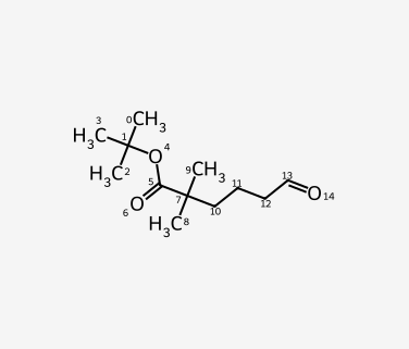 CC(C)(C)OC(=O)C(C)(C)CCCC=O